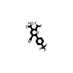 N#Cc1cc(C(=O)O)c(C(F)F)nc1-c1ccc(C(F)(F)F)cc1